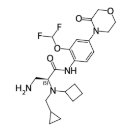 NC[C@@H](C(=O)Nc1ccc(N2CCOCC2=O)cc1OC(F)F)N(CC1CC1)C1CCC1